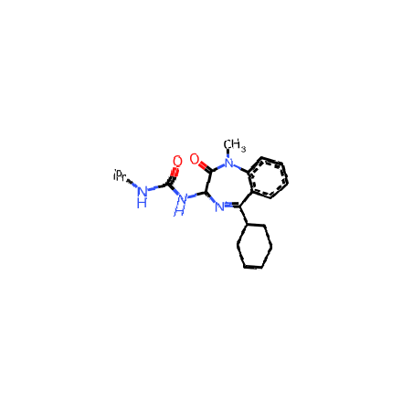 CC(C)NC(=O)NC1N=C(C2CCCCC2)c2ccccc2N(C)C1=O